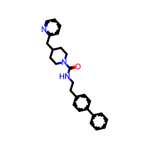 O=C(NCCc1ccc(-c2ccccc2)cc1)N1CCC(Cc2ccccn2)CC1